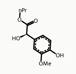 CCCOC(=O)[C@H](O)c1ccc(O)c(OC)c1